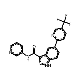 O=C(Nc1cccnc1)c1n[nH]c2ccc(-c3ccc(C(F)(F)F)cn3)cc12